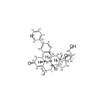 C[C@@H]1C[C@@H]2[C@H]([C@@H](c3ccc(-c4cccnc4)cc3)C[C@@]3(C)[C@H]2CC[C@@]3(O)/C=C\CO)[C@H]2CCC(=O)C=C12